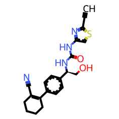 C#Cc1nc(NC(=O)N[C@@H](CO)c2ccc(C3=C(C#N)CCCC3)cc2)cs1